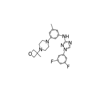 Cc1cc(Nc2ncn(-c3cc(F)cc(F)c3)n2)cc(N2CCN(C3(C)COC3)CC2)c1